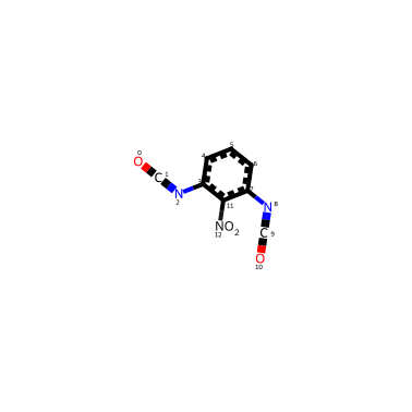 O=C=Nc1c[c]cc(N=C=O)c1[N+](=O)[O-]